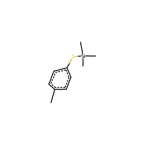 Cc1ccc(S[Si](C)(C)C)cc1